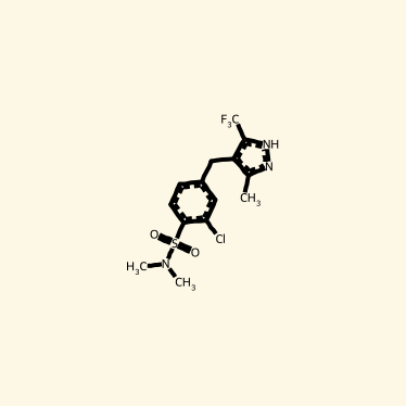 Cc1n[nH]c(C(F)(F)F)c1Cc1ccc(S(=O)(=O)N(C)C)c(Cl)c1